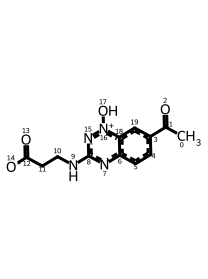 CC(=O)c1ccc2nc(NCCC(=O)[O-])n[n+](O)c2c1